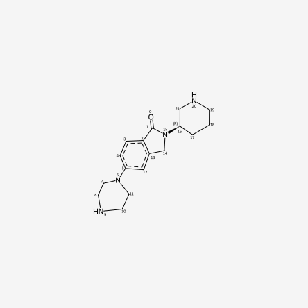 O=C1c2ccc(N3CCNCC3)cc2CN1[C@@H]1CCCNC1